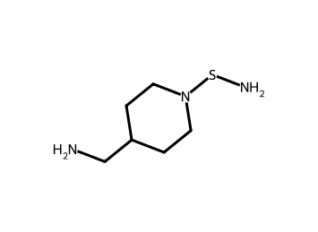 NCC1CCN(SN)CC1